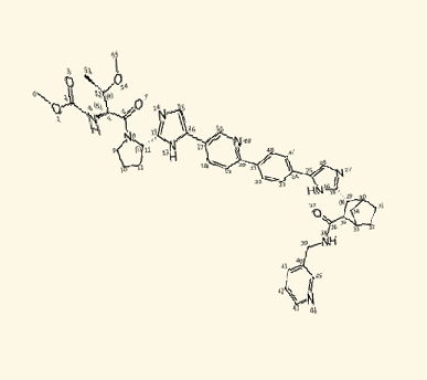 COC(=O)N[C@H](C(=O)N1CCC[C@H]1c1ncc(-c2ccc(-c3ccc(-c4cnc([C@@H]5C6CCC(C6)C5C(=O)NCc5cccnc5)[nH]4)cc3)nc2)[nH]1)[C@@H](C)OC